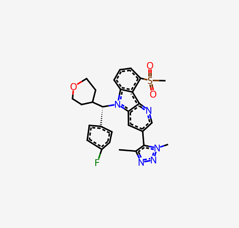 Cc1nnn(C)c1-c1cnc2c3c(S(C)(=O)=O)cccc3n([C@H](c3ccc(F)cc3)C3CCOCC3)c2c1